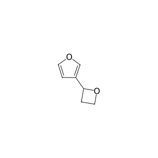 c1cc(C2CCO2)co1